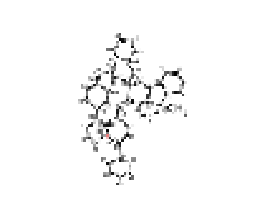 CC1(C)c2ccccc2-c2ccc(N(c3ccc(-c4ccccc4)cc3)c3c(-c4ccccc4)ccc4oc5c6ccccc6ccc5c34)cc21